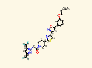 COCCOc1cccc(C2CC(c3csc(C4CCN(C(=O)Cn5nc(C(F)F)cc5C(F)F)CC4)n3)=NO2)c1